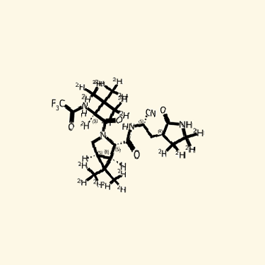 [2H]C([2H])([2H])C1(C([2H])([2H])[2H])[C@@H]2[C@@H](C(=O)N[C@H](C#N)C[C@H]3C(=O)NC([2H])([2H])C3([2H])[2H])N(C(=O)[C@@]([2H])(NC(=O)C(F)(F)F)C(C([2H])([2H])[2H])(C([2H])([2H])[2H])C([2H])([2H])[2H])C[C@@H]21